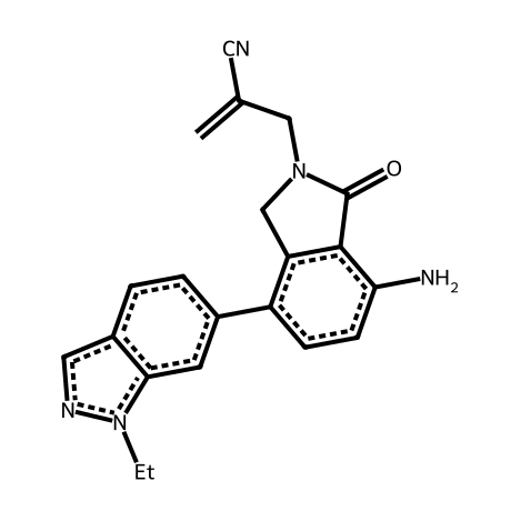 C=C(C#N)CN1Cc2c(-c3ccc4cnn(CC)c4c3)ccc(N)c2C1=O